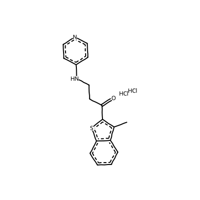 Cc1c(C(=O)CCNc2ccncc2)sc2ccccc12.Cl.Cl